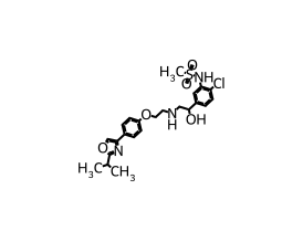 CC(C)c1nc(-c2ccc(OCCNCC(O)c3ccc(Cl)c(NS(C)(=O)=O)c3)cc2)co1